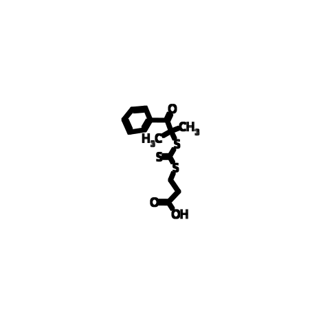 CC(C)(SC(=S)SCCC(=O)O)C(=O)c1ccccc1